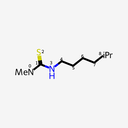 CNC(=S)NCCCCC(C)C